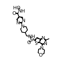 Cc1nc(N2CCOCC2)c2sc([S+]([O-])NCC3CCN(c4ncc(C(=O)NO)cn4)CC3)cc2n1